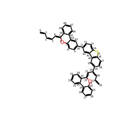 C=C/C=C\C=C1/Oc2ccc(-c3ccc4sc5ccc(C(/C=C6\Oc7ccccc7-c7ccccc76)=C/C=C)cc5c4c3)cc2-c2ccccc21